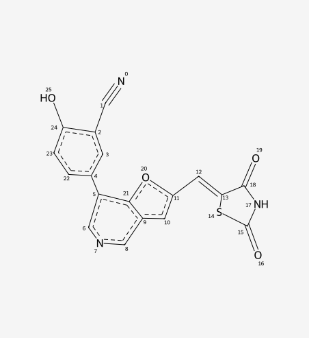 N#Cc1cc(-c2cncc3cc(/C=C4\SC(=O)NC4=O)oc23)ccc1O